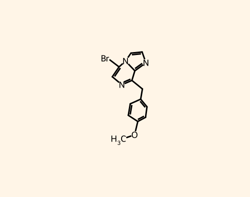 COc1ccc(Cc2ncc(Br)n3ccnc23)cc1